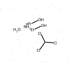 CCCO.CCO.ClC(Cl)Cl.N.O